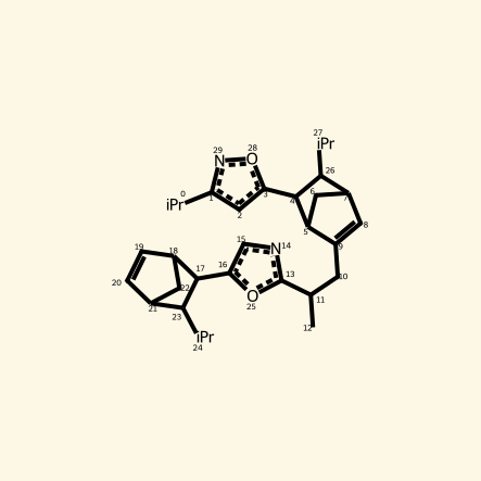 CC(C)c1cc(C2C3CC(C=C3CC(C)c3ncc(C4C5C=CC(C5)C4C(C)C)o3)C2C(C)C)on1